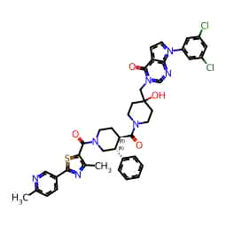 Cc1ccc(-c2nc(C)c(C(=O)N3CC[C@@H](C(=O)N4CCC(O)(Cn5cnc6c(ccn6-c6cc(Cl)cc(Cl)c6)c5=O)CC4)[C@H](c4ccccc4)C3)s2)cn1